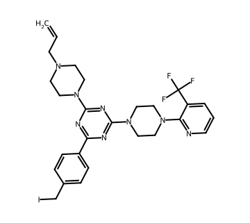 C=CCN1CCN(c2nc(-c3ccc(CI)cc3)nc(N3CCN(c4ncccc4C(F)(F)F)CC3)n2)CC1